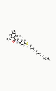 CCCCCCCCCCCCSc1ccc(/C=C/C(=O)c2c(C)cc(C)cc2C)cc1